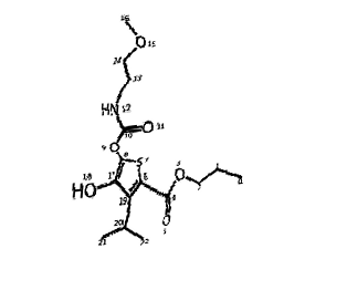 CCCOC(=O)c1sc(OC(=O)NCCOC)c(O)c1C(C)C